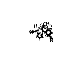 CC1(C)C=C(N2CCCC2=NC#N)c2cc(C#N)ccc2O1